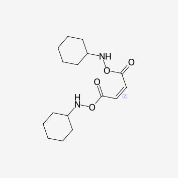 O=C(/C=C\C(=O)ONC1CCCCC1)ONC1CCCCC1